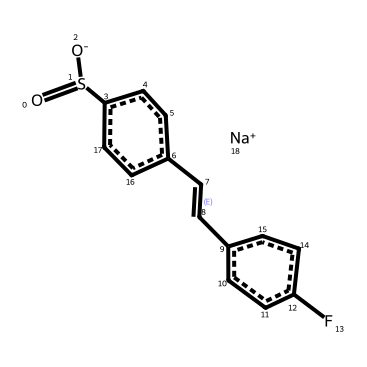 O=S([O-])c1ccc(/C=C/c2ccc(F)cc2)cc1.[Na+]